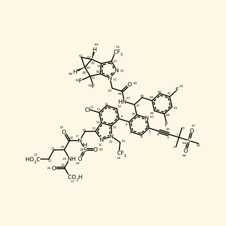 CC(C)(C#Cc1ccc(-c2ccc(Cl)c3c(CN(C(=O)C(CCC(=O)O)NC(=O)C(=O)O)[SH](=O)=O)nn(CC(F)(F)F)c23)c(C(Cc2cc(F)cc(F)c2)NC(=O)Cn2nc(C(F)(F)F)c3c2C(F)(F)[C@@H]2C[C@H]32)n1)S(C)(=O)=O